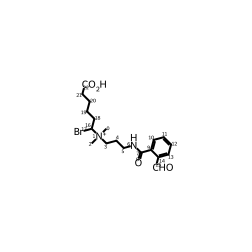 C[N+](C)(CCCNC(=O)c1ccccc1C=O)C(Br)CCCCC(=O)O